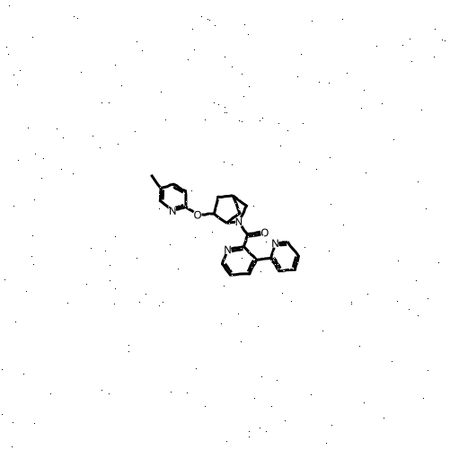 Cc1ccc(OC2CC3CC2N(C(=O)c2ncccc2-c2ccccn2)C3)nc1